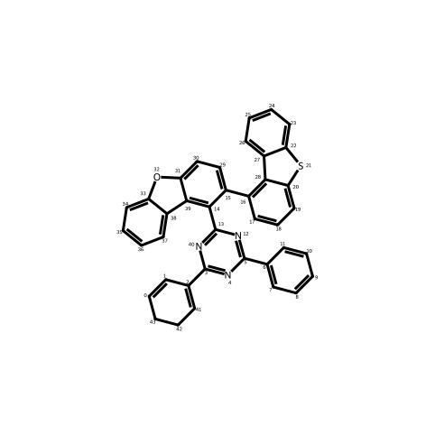 C1=CC(c2nc(-c3ccccc3)nc(-c3c(-c4cccc5sc6ccccc6c45)ccc4oc5ccccc5c34)n2)=CCC1